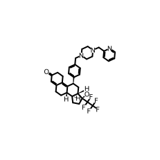 C[C@]12C[C@H](c3ccc(CN4CCN(Cc5ccccn5)CC4)cc3)C3=C4CCC(=O)C=C4CC[C@H]3[C@@H]1CC[C@@]2(O)C(F)(F)C(F)(F)F